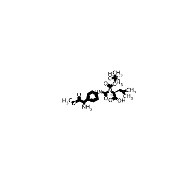 COC(=O)C(N)c1ccc(NC(=O)N(C(=O)OC(C)(C)C)[C@@H](CC(C)C)C(=O)O)cc1